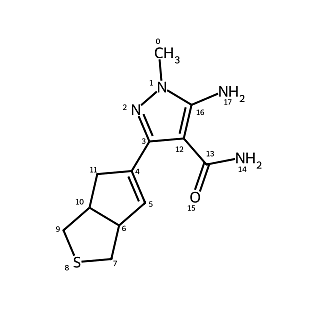 Cn1nc(C2=CC3CSCC3C2)c(C(N)=O)c1N